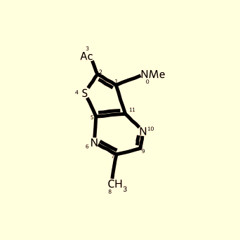 CNc1c(C(C)=O)sc2nc(C)cnc12